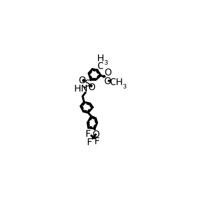 COC(=O)c1cc(S(=O)(=O)NCCc2ccc(-c3ccc(OC(F)(F)F)cc3)cc2)ccc1C